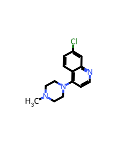 CN1CCN(c2ccnc3cc(Cl)ccc23)CC1